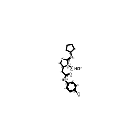 CN1/C(=N/C2CCCC2)SCC1CC(=O)Nc1ccc(Cl)cc1.Cl